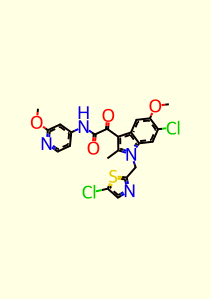 COc1cc(NC(=O)C(=O)c2c(C)n(Cc3ncc(Cl)s3)c3cc(Cl)c(OC)cc23)ccn1